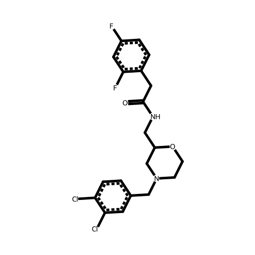 O=C(Cc1ccc(F)cc1F)NCC1CN(Cc2ccc(Cl)c(Cl)c2)CCO1